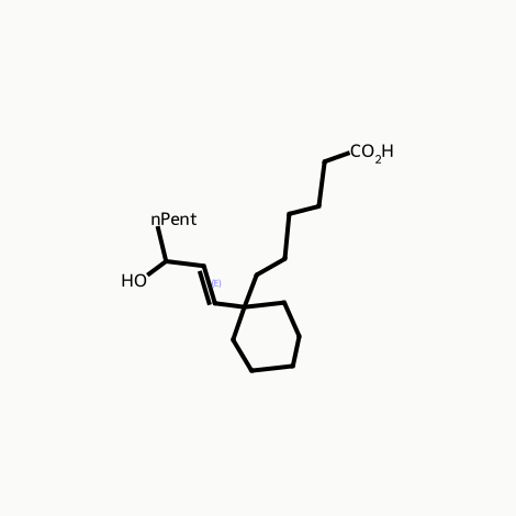 CCCCCC(O)/C=C/C1(CCCCCC(=O)O)CCCCC1